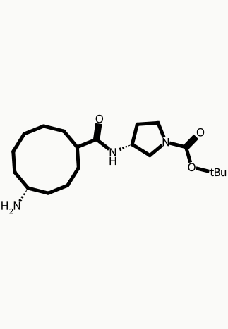 CC(C)(C)OC(=O)N1CC[C@@H](NC(=O)C2CCCCC[C@@H](N)CCC2)C1